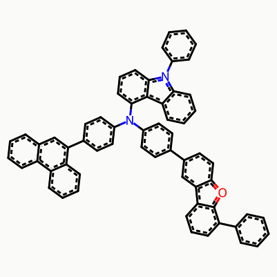 c1ccc(-c2cccc3c2oc2ccc(-c4ccc(N(c5ccc(-c6cc7ccccc7c7ccccc67)cc5)c5cccc6c5c5ccccc5n6-c5ccccc5)cc4)cc23)cc1